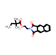 CCC(C)(C)C(=O)OCCN1C(=O)c2cc3ccccc3cc2C1=O